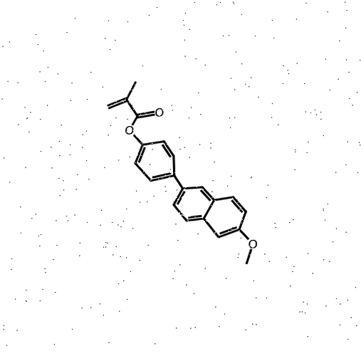 C=C(C)C(=O)Oc1ccc(-c2ccc3cc(OC)ccc3c2)cc1